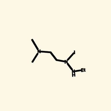 CCNN(I)CCN(C)C